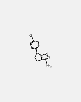 Nc1nnn2c1CCC2c1ccc(Cl)cc1